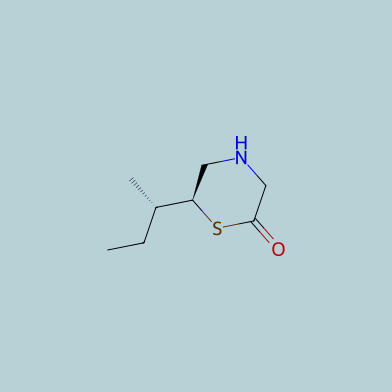 CC[C@H](C)[C@H]1CNCC(=O)S1